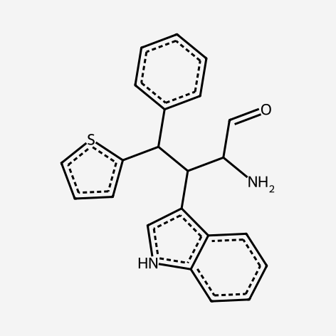 NC(C=O)C(c1c[nH]c2ccccc12)C(c1ccccc1)c1cccs1